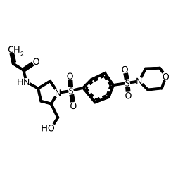 C=CC(=O)NC1CC(CO)N(S(=O)(=O)c2ccc(S(=O)(=O)N3CCOCC3)cc2)C1